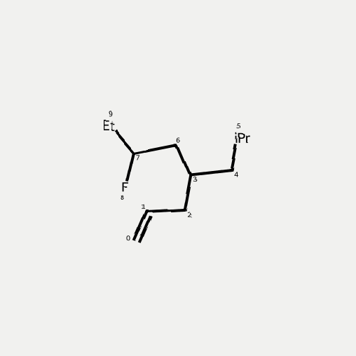 C=CCC(CC(C)C)CC(F)CC